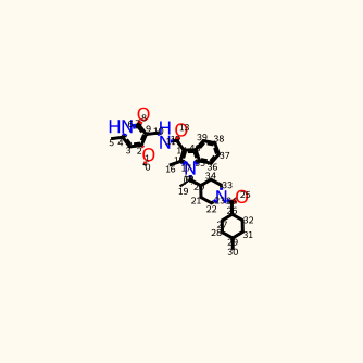 COc1cc(C)[nH]c(=O)c1CNC(=O)c1c(C)n([C@H](C)C2CCN(C(=O)C3CCC(C)CC3)CC2)c2ccccc12